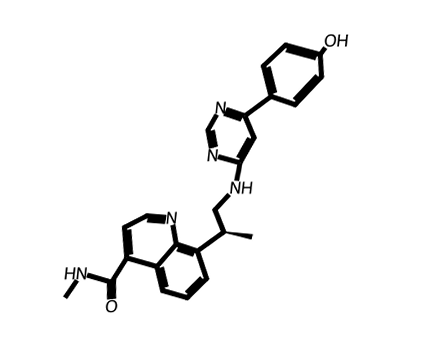 CNC(=O)c1ccnc2c([C@H](C)CNc3cc(-c4ccc(O)cc4)ncn3)cccc12